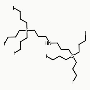 ICCCS(CCCI)(CCCI)CCCNCCCS(CCCI)(CCCI)CCCI